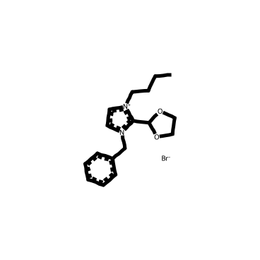 CCCC[n+]1ccn(Cc2ccccc2)c1C1OCCO1.[Br-]